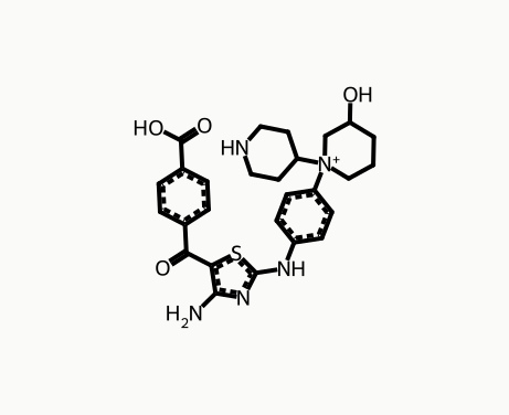 Nc1nc(Nc2ccc([N+]3(C4CCNCC4)CCCC(O)C3)cc2)sc1C(=O)c1ccc(C(=O)O)cc1